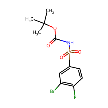 CC(C)(C)OC(=O)NS(=O)(=O)c1ccc(F)c(Br)c1